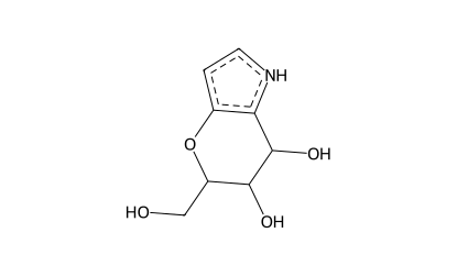 OCC1Oc2cc[nH]c2C(O)C1O